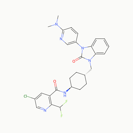 CN(C)c1ccc(-n2c(=O)n(C[C@H]3CC[C@H](NC(=O)c4cc(Cl)cnc4C(F)F)CC3)c3ccccc32)cn1